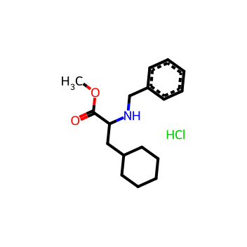 COC(=O)C(CC1CCCCC1)NCc1ccccc1.Cl